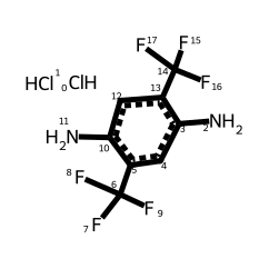 Cl.Cl.Nc1cc(C(F)(F)F)c(N)cc1C(F)(F)F